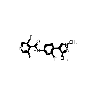 Cc1nn(C)cc1-c1ccc(NC(=O)c2c(F)cncc2F)cc1F